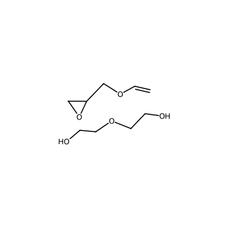 C=COCC1CO1.OCCOCCO